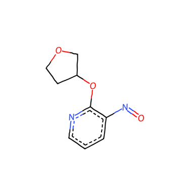 O=Nc1cccnc1OC1CCOC1